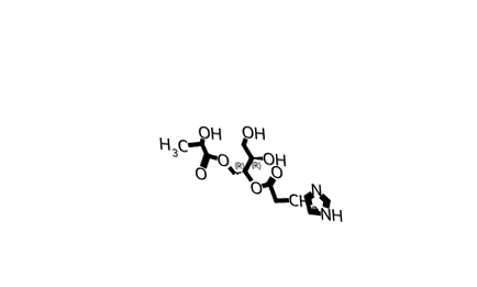 CCC(=O)O[C@H](COC(=O)C(C)O)[C@H](O)CO.c1c[nH]cn1